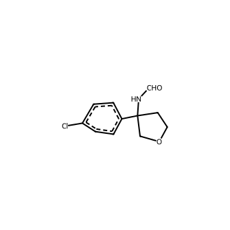 O=CNC1(c2ccc(Cl)cc2)CCOC1